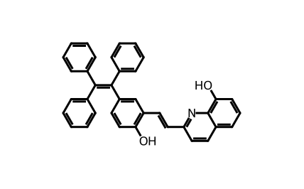 Oc1ccc(C(=C(c2ccccc2)c2ccccc2)c2ccccc2)cc1C=Cc1ccc2cccc(O)c2n1